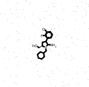 NC1C(c2cccc(Cl)c2F)C[C@H](CO)N1CC1CCCCC1